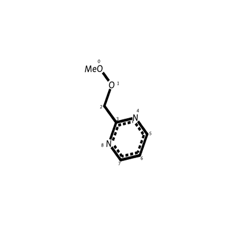 COOCc1ncccn1